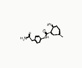 CC(C)C1CC[C@@H](C)C[C@H]1C(=O)Nc1ccc(CC(N)=O)cc1